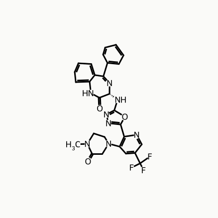 CN1CCN(c2cc(C(F)(F)F)cnc2-c2nnc(N[C@H]3N=C(c4ccccc4)c4ccccc4NC3=O)o2)CC1=O